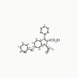 CCOC(=O)C1=C(c2ccccc2)c2ccc(Oc3ccccn3)cc2/C1=[N+](/C)[O-]